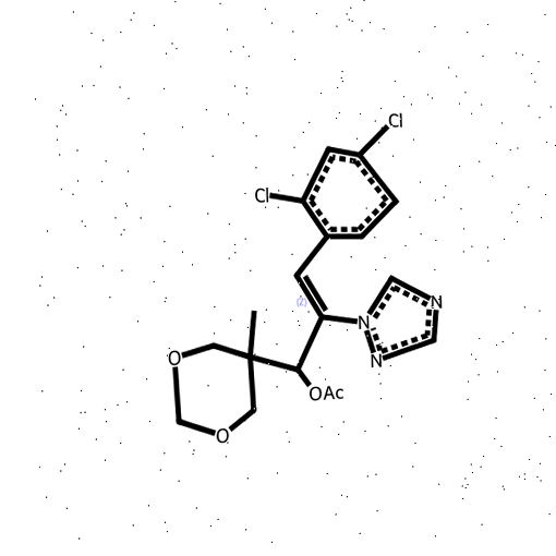 CC(=O)OC(/C(=C/c1ccc(Cl)cc1Cl)n1cncn1)C1(C)COCOC1